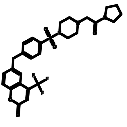 O=C(CN1CCN(S(=O)(=O)c2ccc(Cc3ccc4oc(=O)cc(C(F)(F)F)c4c3)cc2)CC1)N1CCCC1